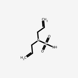 C=CCN(CC=C)S([NH])(=O)=O